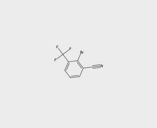 N#Cc1cccc(C(F)(F)F)c1Br